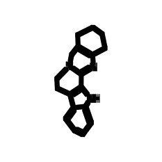 c1ccc2c3c([nH]c2c1)C1=NC2=C(CCCC2)CN1CC3